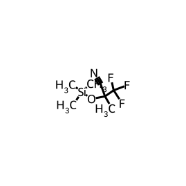 CC(C#N)(O[Si](C)(C)C)C(F)(F)F